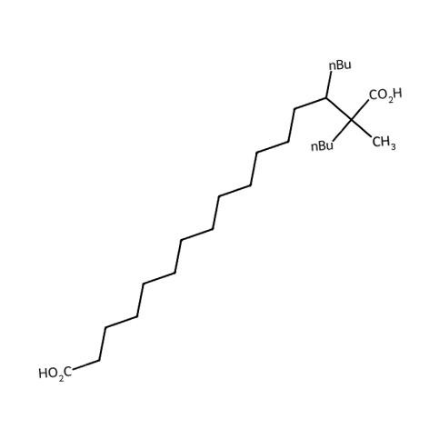 CCCCC(CCCCCCCCCCCCC(=O)O)C(C)(CCCC)C(=O)O